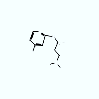 CCN(CC[C@@H](C)Nc1cc(C)ccn1)C(C)=O